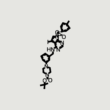 Cc1ccc(S(=O)(=O)n2cc(I)c3c(NCc4cccc(N5CCN(C(=O)OC(C)(C)C)CC5)c4)ncnc32)cc1